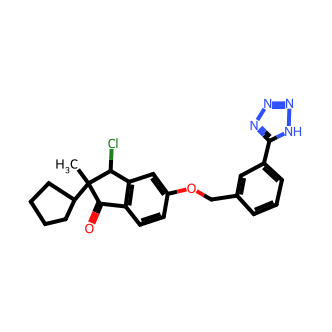 CC1(C2CCCC2)C(=O)c2ccc(OCc3cccc(-c4nnn[nH]4)c3)cc2C1Cl